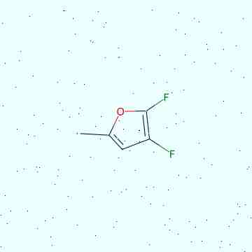 [CH2]c1cc(F)c(F)o1